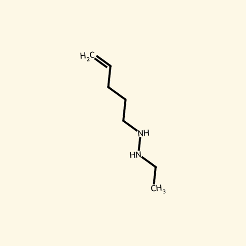 C=CCCCNNCC